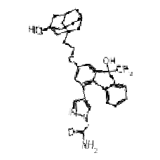 NC(=O)Cn1cc(-c2cc(OCCC34CC5CC(CC(O)(C5)C3)C4)cc3c2-c2ccccc2C3(O)C(F)(F)F)cn1